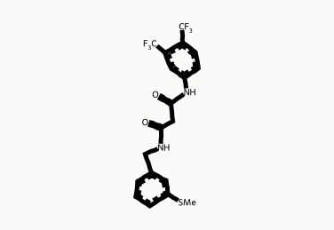 CSc1cccc(CNC(=O)CC(=O)Nc2ccc(C(F)(F)F)c(C(F)(F)F)c2)c1